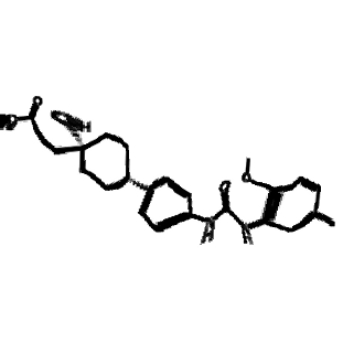 COc1ccc(C)cc1NC(=O)Nc1ccc([C@H]2CC[C@](O)(CC(=O)O)CC2)cc1